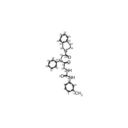 Cc1cccc(NC(=O)NCC(=O)N(CC(=O)N2CCc3ccccc3C2)c2ccccc2)c1